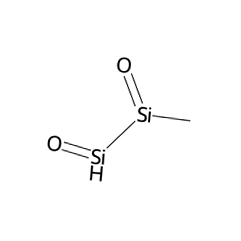 C[Si](=O)[SiH]=O